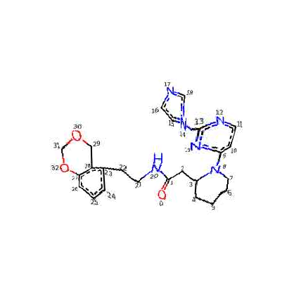 O=C(CC1CCCCN1c1ccnc(-n2ccnc2)n1)NCCc1cccc2c1COCO2